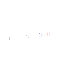 CC1CCN(CC2CCCCC2=NO)CC1